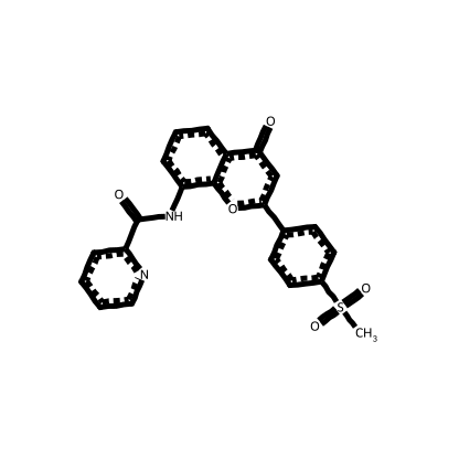 CS(=O)(=O)c1ccc(-c2cc(=O)c3cccc(NC(=O)c4ccccn4)c3o2)cc1